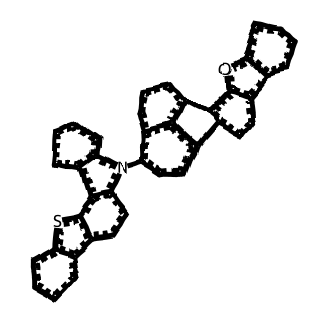 c1ccc2c(c1)oc1c3c(ccc12)-c1ccc(-n2c4ccccc4c4c5sc6ccccc6c5ccc42)c2cccc-3c12